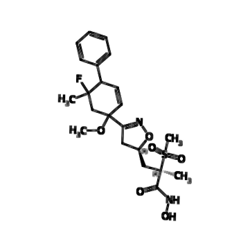 COC1(C2=NO[C@@H](C[C@](C)(C(=O)NO)S(C)(=O)=O)C2)C=CC(c2ccccc2)C(C)(F)C1